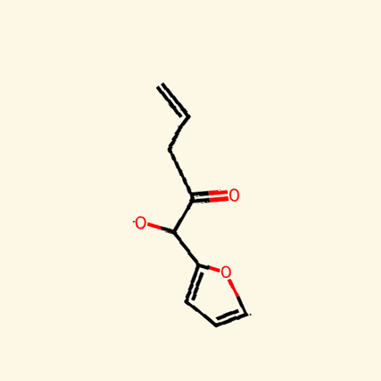 C=CCC(=O)C([O])c1cc[c]o1